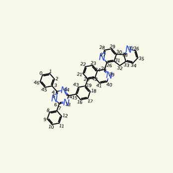 c1ccc(-c2nc(-c3ccccc3)nc(-c3cccc(-c4cccc5c(-c6nccc7c6Cc6cccnc6-7)nccc45)c3)n2)cc1